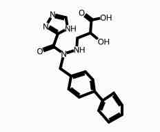 O=C(O)C(O)CNN(Cc1ccc(-c2ccccc2)cc1)C(=O)c1nnc[nH]1